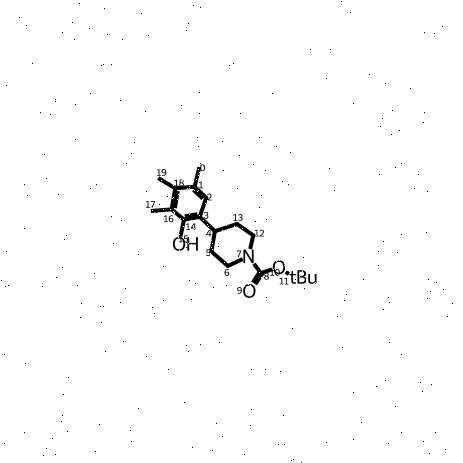 Cc1cc(C2CCN(C(=O)OC(C)(C)C)CC2)c(O)c(C)c1C